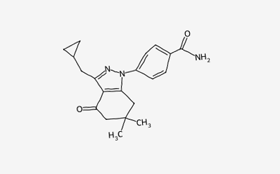 CC1(C)CC(=O)c2c(CC3CC3)nn(-c3ccc(C(N)=O)cc3)c2C1